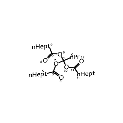 [CH2]CCC(OC(=O)CCCCCCC)(OC(=O)CCCCCCC)OC(=O)CCCCCCC